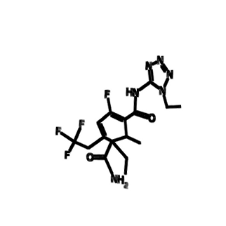 CCn1nnnc1NC(=O)C1=C(F)C=C(CC(F)(F)F)C(CC)(C(N)=O)C1C